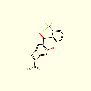 O=C(O)C1=Cc2cc(C(=O)c3ccccc3C(F)(F)F)c(O)cc21